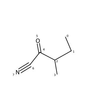 CCC(C)C(=O)C#N